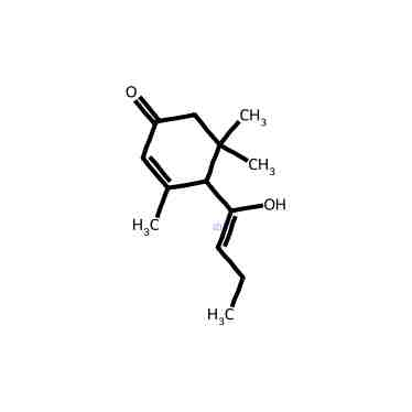 CC/C=C(\O)C1C(C)=CC(=O)CC1(C)C